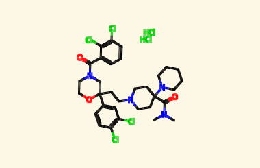 CN(C)C(=O)C1(N2CCCCC2)CCN(CCC2(c3ccc(Cl)c(Cl)c3)CN(C(=O)c3cccc(Cl)c3Cl)CCO2)CC1.Cl.Cl